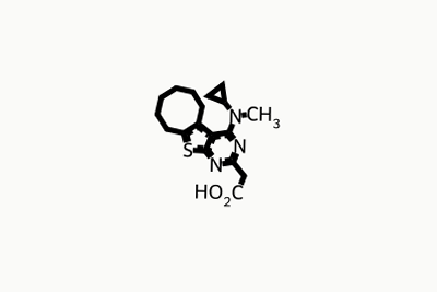 CN(c1nc(CC(=O)O)nc2sc3c(c12)CCCCCC3)C1CC1